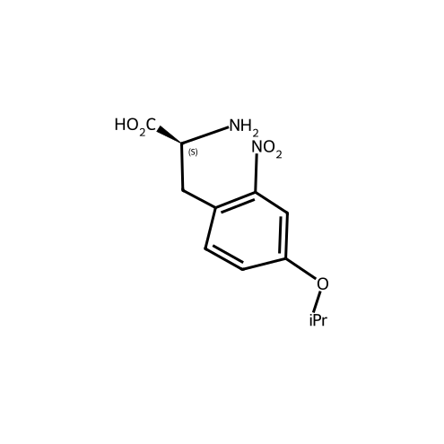 CC(C)Oc1ccc(C[C@H](N)C(=O)O)c([N+](=O)[O-])c1